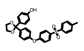 Cc1ccc(S(=O)(=O)c2ccc(Oc3ccc(C4(c5ccc(O)cc5)OCCO4)cc3)cc2)cc1